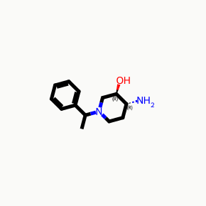 CC(c1ccccc1)N1CC[C@@H](N)[C@H](O)C1